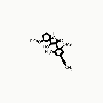 CC#Cc1cc(C)c(C2=C(O)C3(CCCC(OCCC)C3)NC2=O)c(OC)c1